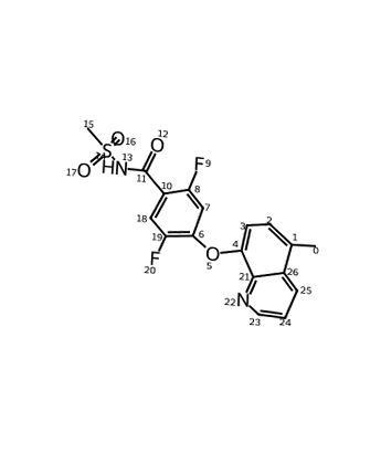 Cc1ccc(Oc2cc(F)c(C(=O)NS(C)(=O)=O)cc2F)c2ncccc12